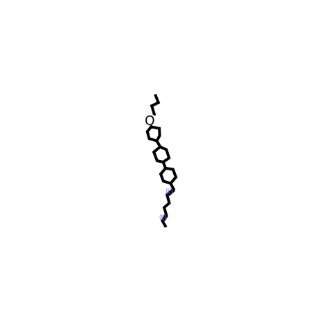 C/C=C/CC/C=C/C1CCC(C2CCC(C3CCC(OCCCC)CC3)CC2)CC1